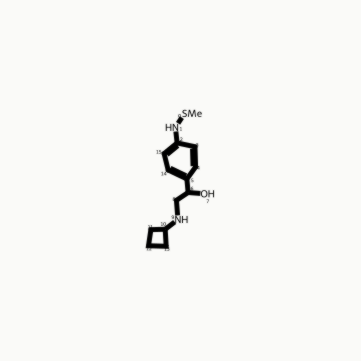 CSNc1ccc(C(O)CNC2CCC2)cc1